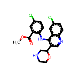 COC(=O)c1cc(Cl)ccc1Nc1c(C2CNCCO2)cnc2ccc(Cl)cc12